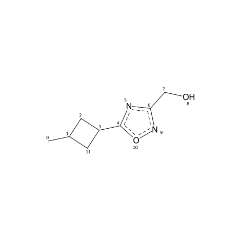 CC1CC(c2nc(CO)no2)C1